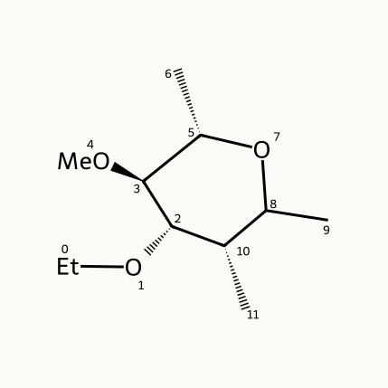 CCO[C@@H]1[C@@H](OC)[C@H](C)OC(C)[C@@H]1C